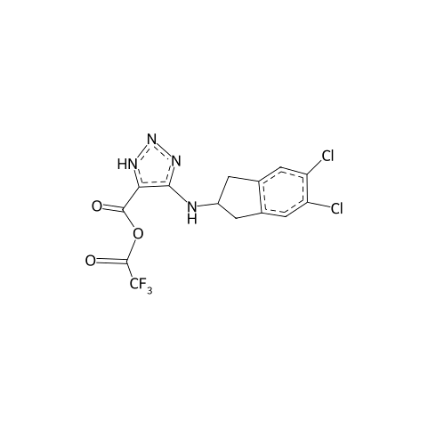 O=C(OC(=O)C(F)(F)F)c1[nH]nnc1NC1Cc2cc(Cl)c(Cl)cc2C1